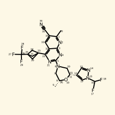 Cc1nc2nc(N3C[C@@H](C)O[C@@H](c4cnn(C(F)F)c4)C3)nc(C34CC(C(F)(F)F)(C3)C4)c2cc1C#N